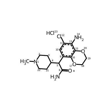 CN1CCC(C(C(N)=O)c2cc(Cl)c(N)c3c2OCCO3)CC1.Cl